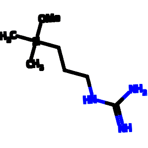 CO[Si](C)(C)CCCNC(=N)N